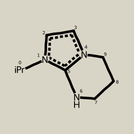 CC(C)[n+]1ccn2c1NCCC2